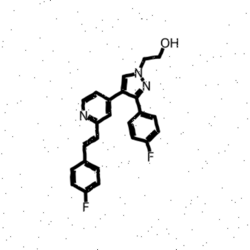 OCCn1cc(-c2ccnc(C=Cc3ccc(F)cc3)c2)c(-c2ccc(F)cc2)n1